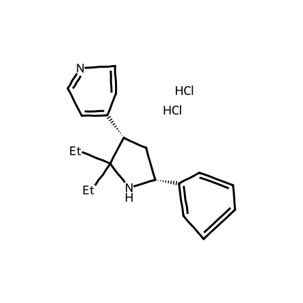 CCC1(CC)N[C@@H](c2ccccc2)C[C@H]1c1ccncc1.Cl.Cl